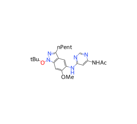 CCCCCc1nn(OC(C)(C)C)c2cc(OC)c(Nc3cc(NC(C)=O)ncn3)cc12